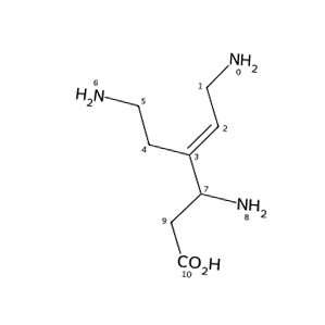 NCC=C(CCN)C(N)CC(=O)O